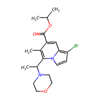 Cc1c(C(=O)OC(C)C)cc2c(Br)ccn2c1C(C)N1CCOCC1